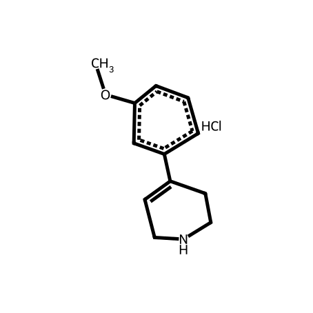 COc1cccc(C2=CCNCC2)c1.Cl